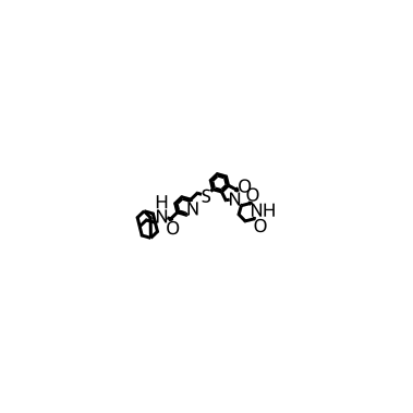 O=C1CCC(N2Cc3c(SCc4ccc(C(=O)NC56CC7CC(CC(C7)C5)C6)cn4)cccc3C2=O)C(=O)N1